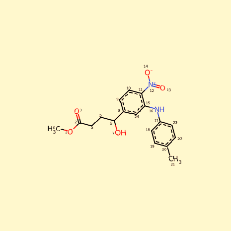 COC(=O)CCC(O)c1ccc([N+](=O)[O-])c(Nc2ccc(C)cc2)c1